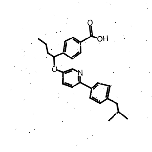 CCCC(Oc1ccc(-c2ccc(CC(C)C)cc2)nc1)c1ccc(C(=O)O)cc1